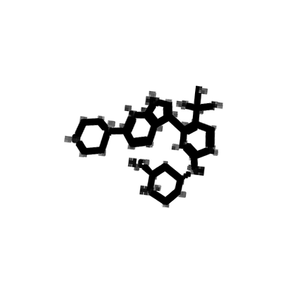 C[C@H]1C[C@H](Nc2ncc(C(F)(F)F)c(-c3c[nH]c4nc(N5CCOCC5)ccc34)n2)CCN1